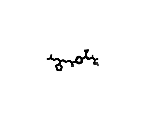 CC(C)CCC(CCCC(=O)c1ccc(/C(=C/C(C)C(C)N)C2CC2)cc1)N1CCCC1